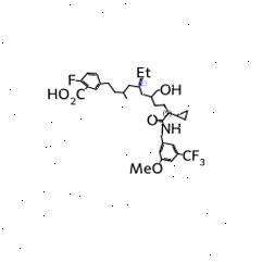 CC/C=C(\CC(C)CCc1ccc(F)c(C(=O)O)c1)CC(CO)CC[C@H](C(=O)NCc1cc(OC)cc(C(F)(F)F)c1)C1CC1